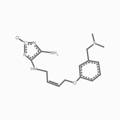 CN(C)Cc1cccc(OC/C=C\CNc2n[s+]([O-])nc2N)c1